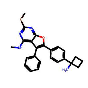 CNc1nc(SC)nc2oc(-c3ccc(C4(N)CCC4)cc3)c(-c3ccccc3)c12